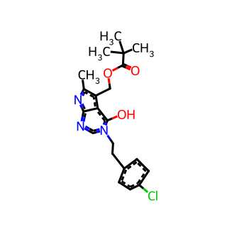 Cc1nc2ncn(CCc3ccc(Cl)cc3)c(O)c-2c1COC(=O)C(C)(C)C